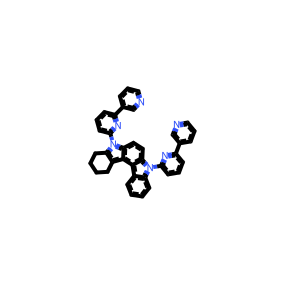 c1cncc(-c2cccc(-n3c4c(c5c6c7ccccc7n(-c7cccc(-c8cccnc8)n7)c6ccc53)CCCC4)n2)c1